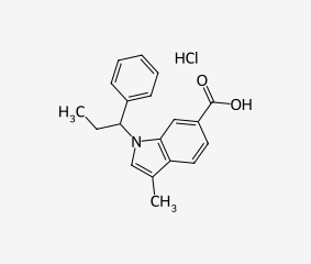 CCC(c1ccccc1)n1cc(C)c2ccc(C(=O)O)cc21.Cl